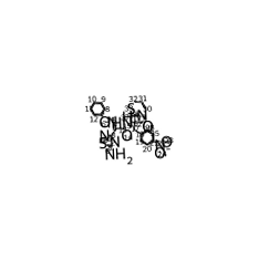 Nc1nc(C(=NOc2ccccc2)C(=O)NC2(Cc3ccc([N+](=O)[O-])cc3)C(=O)N3C=CCS[C@H]32)ns1